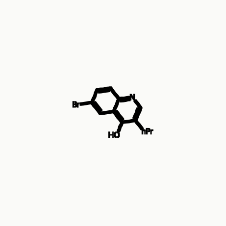 CCCc1cnc2ccc(Br)cc2c1O